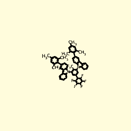 Cc1cc(C)c(-c2ccc3c(c2)c2ccccc2n3-c2cc(-c3c(F)c(F)c(F)c(F)c3F)cc(-n3c4ccccc4c4cc(-c5c(C)cc(C)cc5C)ccc43)c2C(F)(F)F)c(C)c1